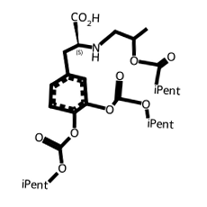 CCCC(C)OC(=O)Oc1ccc(C[C@H](NCC(C)OC(=O)C(C)CCC)C(=O)O)cc1OC(=O)OC(C)CCC